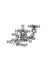 CCCCCCCC(OC1C(O)C(CO)OC(OC2CCOC(CNC(=O)OCc3ccc(N(O)O)cc3)C2OC2OC=C(O)C(O)C2O)C1O)C(=O)O